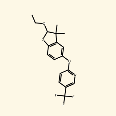 CCOC1Oc2ccc(Oc3ccc(C(F)(F)F)cn3)cc2C1(C)C